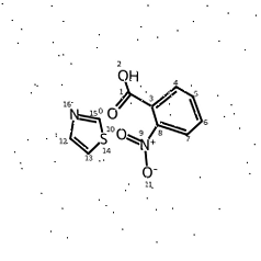 O=C(O)c1ccccc1[N+](=O)[O-].c1cscn1